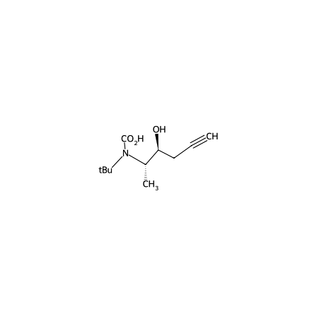 C#CC[C@H](O)[C@H](C)N(C(=O)O)C(C)(C)C